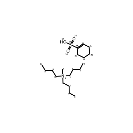 CCCC[N+](C)(CCCC)CCCC.O=S(=O)(O)C1=CCCCC1